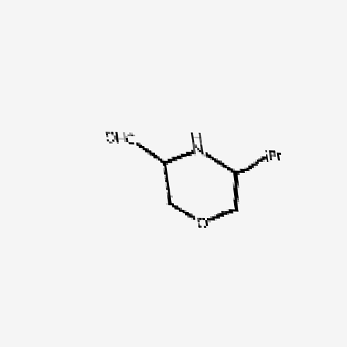 CC(C)C1COCC(C=O)N1